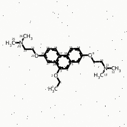 CCOc1cc2cc(OCCN(C)C)ccc2c2ccc(OCCN(C)C)cc12